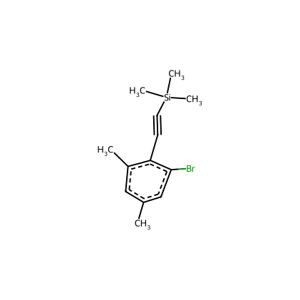 Cc1cc(C)c(C#C[Si](C)(C)C)c(Br)c1